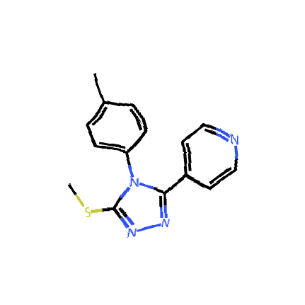 CSc1nnc(-c2ccncc2)n1-c1ccc(C)cc1